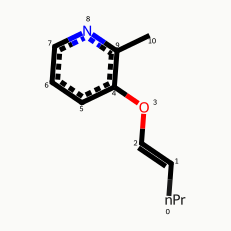 CCC/C=C/Oc1cccnc1C